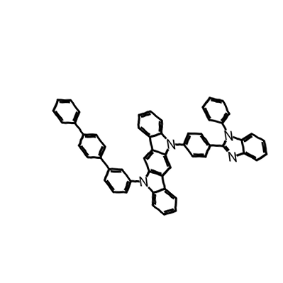 c1ccc(-c2ccc(-c3cccc(-n4c5ccccc5c5cc6c(cc54)c4ccccc4n6-c4ccc(-c5nc6ccccc6n5-c5ccccc5)cc4)c3)cc2)cc1